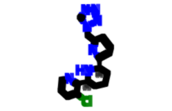 Clc1cccnc1[C@@H]1CCC[C@H](c2cccc(Cn3cnnn3)n2)N1